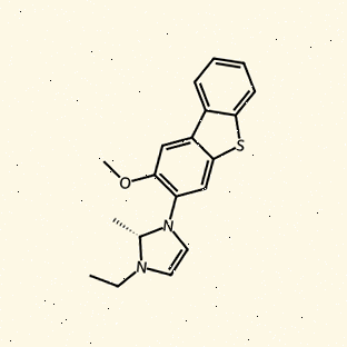 CCN1C=CN(c2cc3sc4ccccc4c3cc2OC)[C@H]1C